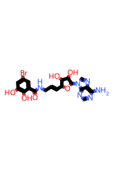 Nc1ncnc2c1ncn2C1OC(C=CCNC(=O)c2cc(Br)cc(O)c2O)C(O)C1O